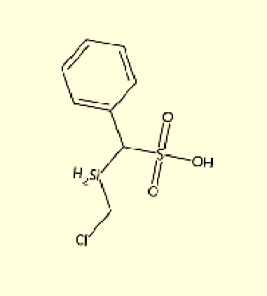 O=S(=O)(O)C([SiH2]CCl)c1ccccc1